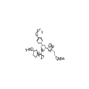 COCCc1noc(C2CC(c3ccc(OC(F)(F)F)cc3)CN(C(=O)N3CCC(O)C3)C2)n1